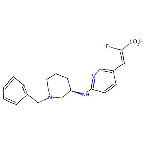 O=C(O)/C(F)=C/c1ccc(N[C@@H]2CCCN(Cc3ccccc3)C2)nc1